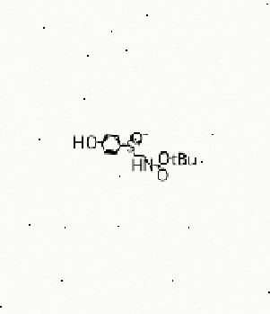 CC(C)(C)OC(=O)NCC[S+]([O-])c1ccc(O)cc1